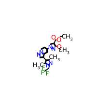 CCOC(=O)c1cn(-c2ccn3ncc(-c4c(C)nn(CC(F)(F)F)c4C)c3c2)nc1OC